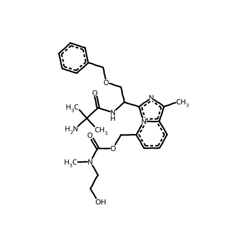 Cc1nc(C(COCc2ccccc2)NC(=O)C(C)(C)N)n2c(COC(=O)N(C)CCO)cccc12